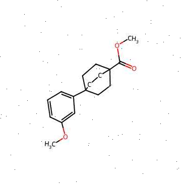 COC(=O)C12CCC(c3cccc(OC)c3)(CC1)CC2